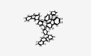 c1ccc(C2(c3ccccc3)c3ccccc3-c3ccc(N(c4ccc(-c5ccc6sc7ccccc7c6c5)cc4)c4cccc(-c5cccc6oc7c8ccccc8ccc7c56)c4)cc32)cc1